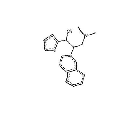 CN(C)CC(c1ccc2ccccc2c1)C(O)c1cccs1